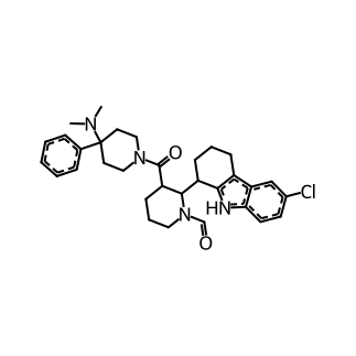 CN(C)C1(c2ccccc2)CCN(C(=O)C2CCCN(C=O)C2C2CCCc3c2[nH]c2ccc(Cl)cc32)CC1